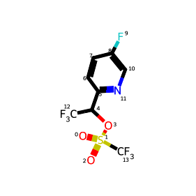 O=S(=O)(OC(c1ccc(F)cn1)C(F)(F)F)C(F)(F)F